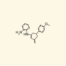 C=C1C=C(Nc2ccccc2N)CC(c2ccc(OC)cc2)C1